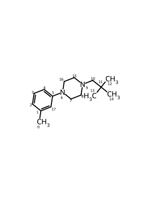 Cc1cccc(N2CCN(CC(C)(C)C)CC2)c1